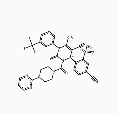 CC1=C(C#N)[C@@H](c2ccc(C#N)cc2S(C)(=O)=O)N(C(=O)N2CCN(c3ncccn3)CC2)C(=O)N1c1cccc(C(F)(F)F)c1